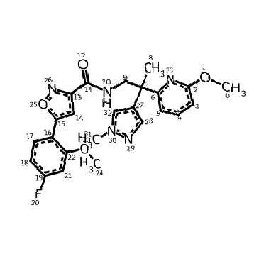 COc1cccc(C(C)(CNC(=O)c2cc(-c3ccc(F)cc3OC)on2)c2cnn(C)c2)n1